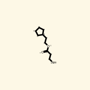 [NH]CCC(=O)OCCC1CCCC1